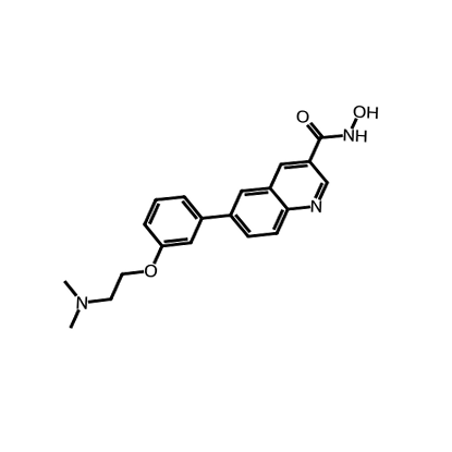 CN(C)CCOc1cccc(-c2ccc3ncc(C(=O)NO)cc3c2)c1